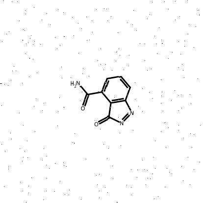 NC(=O)c1cccc2c1C(=O)N=N2